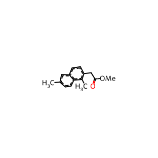 COC(=O)Cc1ccc2cc(C)ccc2c1C